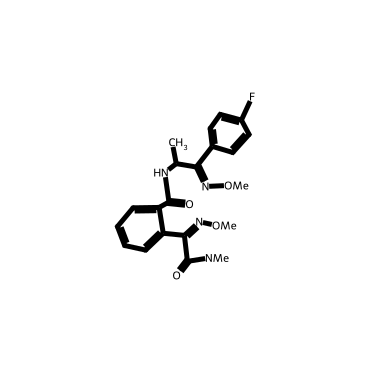 CNC(=O)C(=NOC)c1ccccc1C(=O)NC(C)C(=NOC)c1ccc(F)cc1